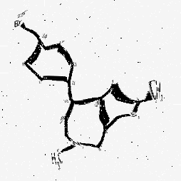 Cc1cc2c(s1)CN(C)CC2c1ccc(Br)cc1